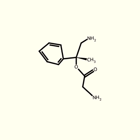 C[C@@](CN)(OC(=O)CN)c1ccccc1